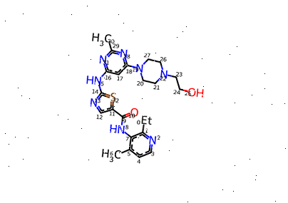 CCc1nccc(C)c1NC(=O)c1cnc(Nc2cc(N3CCN(CCO)CC3)nc(C)n2)s1